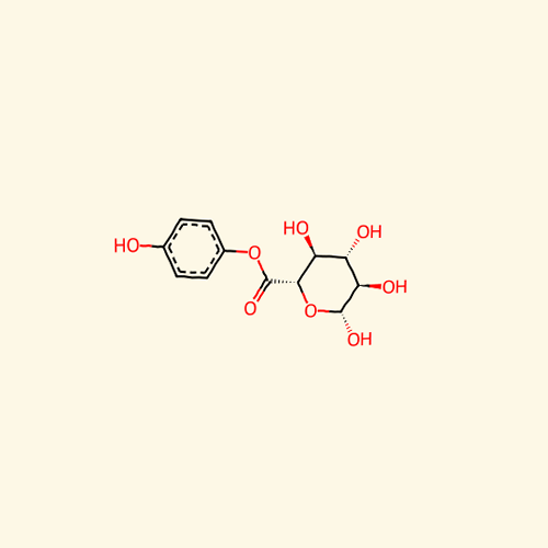 O=C(Oc1ccc(O)cc1)[C@H]1O[C@@H](O)[C@H](O)[C@@H](O)[C@@H]1O